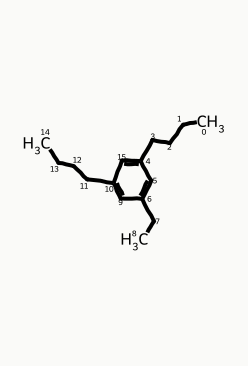 CCCCc1cc(CC)cc(CCCC)c1